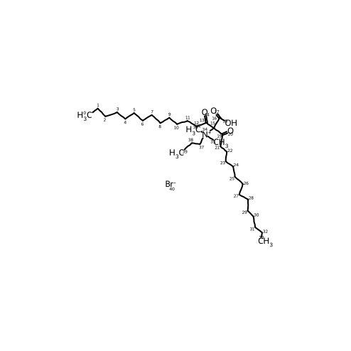 CCCCCCCCCCCCCC(=O)C(C(=O)O)(C(=O)CCCCCCCCCCCCC)[N+](C)(C)CCC.[Br-]